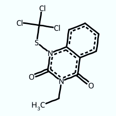 CCn1c(=O)c2ccccc2n(SC(Cl)(Cl)Cl)c1=O